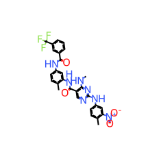 CNc1nc(Nc2ccc(C)c([N+](=O)[O-])c2)ncc1C(=O)Nc1cc(NC(=O)c2cccc(C(F)(F)F)c2)ccc1C